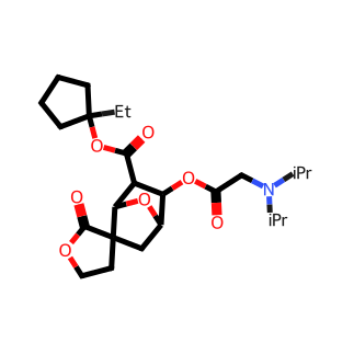 CCC1(OC(=O)C2C(OC(=O)CN(C(C)C)C(C)C)C3CC4(CCOC4=O)C2O3)CCCC1